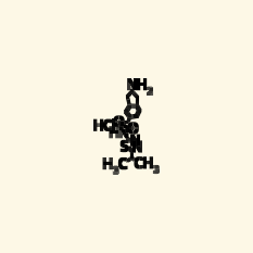 CC(C)c1nnc(NS(=O)(=O)c2ccc3c(c2)CC(N)C3)s1.Cl